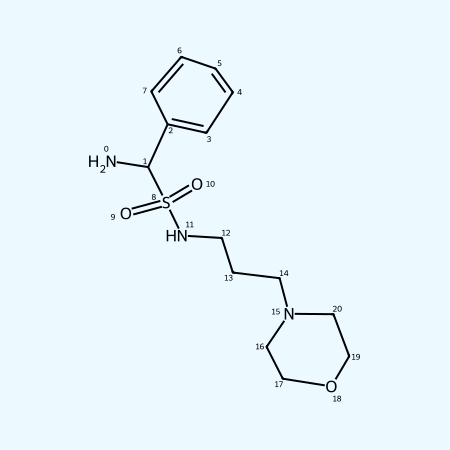 NC(c1ccccc1)S(=O)(=O)NCCCN1CCOCC1